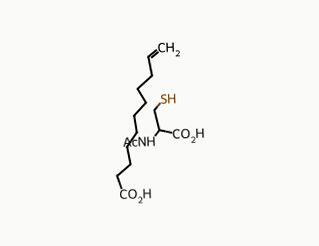 C=CCCCCCCCCC(=O)O.CC(=O)NC(CS)C(=O)O